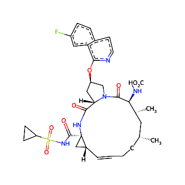 C[C@@H]1CCC=C[C@@H]2C[C@@]2(C(=O)NS(=O)(=O)C2CC2)NC(=O)[C@@H]2C[C@@H](Oc3nccc4ccc(F)cc34)CN2C(=O)[C@@H](NC(=O)O)[C@H](C)C1